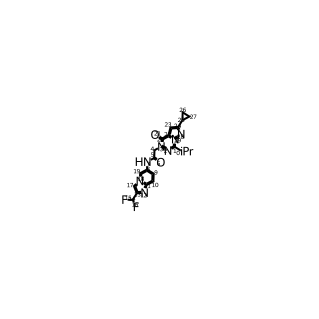 CC(C)c1nn(CC(=O)Nc2ccc3nc(C(F)F)cn3c2)c(=O)c2cc(C3CC3)nn12